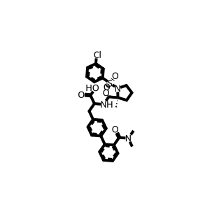 CN(C)C(=O)c1ccccc1-c1ccc(CC(NC(=O)[C@]2(C)CCCN2S(=O)(=O)c2cccc(Cl)c2)C(=O)O)cc1